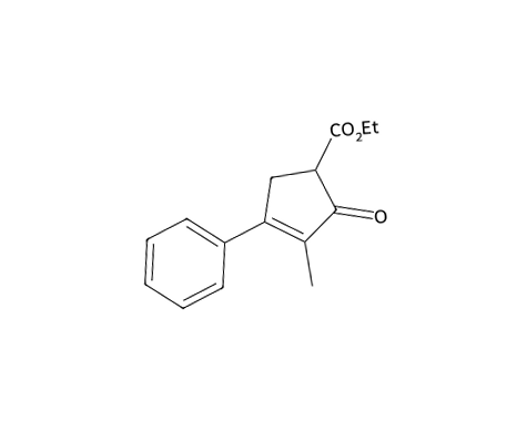 CCOC(=O)C1CC(c2ccccc2)=C(C)C1=O